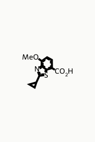 COc1ccc(C(=O)O)c2sc(C3CC3)nc12